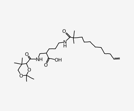 C=CCCCCCCCC(C)(C)C(=O)NCCCC(CNC(=O)C1OC(C)(C)OCC1(C)C)C(=O)O